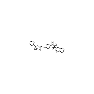 O=S(=O)(Nc1ccc(CCNCC(O)c2ccccc2)cc1)c1cnc2ccccc2c1